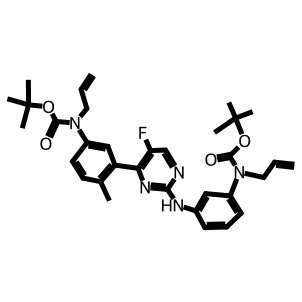 C=CCN(C(=O)OC(C)(C)C)c1cccc(Nc2ncc(F)c(-c3cc(N(CC=C)C(=O)OC(C)(C)C)ccc3C)n2)c1